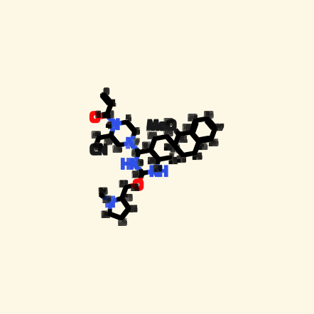 C=CC(=O)N1CCN(C2NC(OCC3CCCN3C)NC3C[C@]4(CCc5ccccc5C4OC)CCC32)CC1CC#N